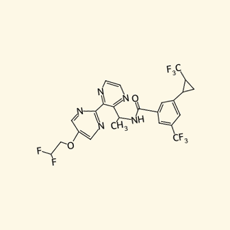 CC(NC(=O)c1cc(C2CC2C(F)(F)F)cc(C(F)(F)F)c1)c1nccnc1-c1ncc(OCC(F)F)cn1